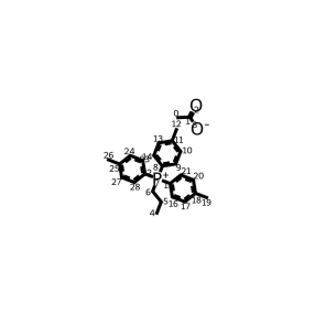 CC(=O)[O-].CCC[P+](c1ccc(C)cc1)(c1ccc(C)cc1)c1ccc(C)cc1